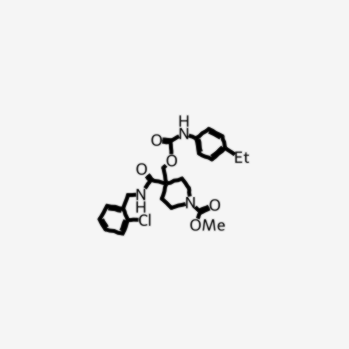 CCc1ccc(NC(=O)OCC2(C(=O)NCc3ccccc3Cl)CCN(C(=O)OC)CC2)cc1